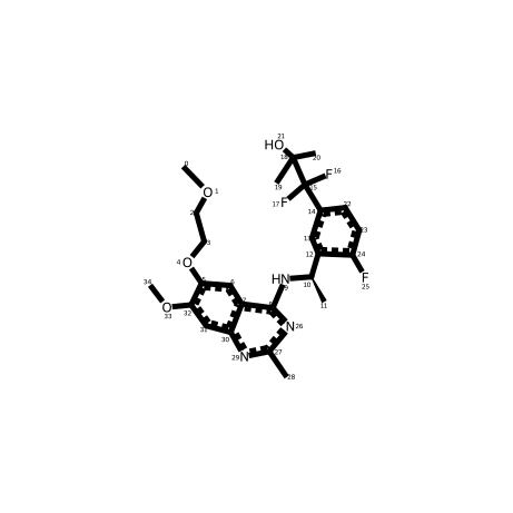 COCCOc1cc2c(N[C@H](C)c3cc(C(F)(F)C(C)(C)O)ccc3F)nc(C)nc2cc1OC